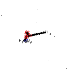 CCCCCCCCCCCCCCCCOC[C@H](COP(=O)([O-])OCC[N+](C)(C)C)OCCC(=O)O